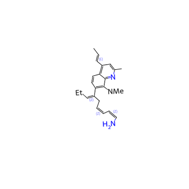 C/C=C/c1cc(C)nc2c(NC)c(/C(=C\CC)C/C=C\C=C/N)ccc12